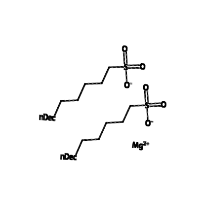 CCCCCCCCCCCCCCCS(=O)(=O)[O-].CCCCCCCCCCCCCCCS(=O)(=O)[O-].[Mg+2]